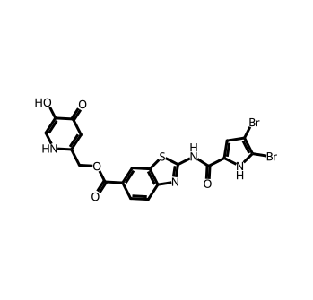 O=C(OCc1cc(=O)c(O)c[nH]1)c1ccc2nc(NC(=O)c3cc(Br)c(Br)[nH]3)sc2c1